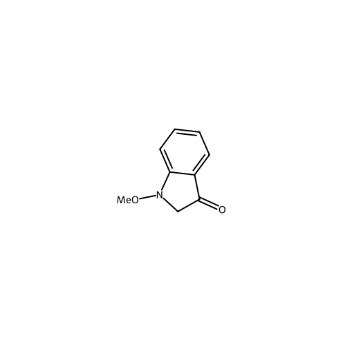 CON1CC(=O)c2ccccc21